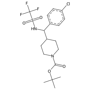 CC(C)(C)OC(=O)N1CCC(C(NS(=O)(=O)C(F)(F)F)c2ccc(Cl)cc2)CC1